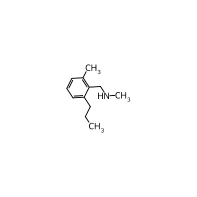 CCCc1cccc(C)c1CNC